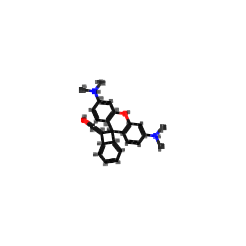 CCN(CC)c1ccc2c(c1)Oc1cc(N(CC)CC)ccc1C21C(=C=O)c2ccccc21